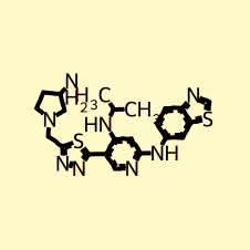 CC(C)Nc1cc(Nc2ccc3ncsc3c2)ncc1-c1nnc(CN2CCC(N)C2)s1